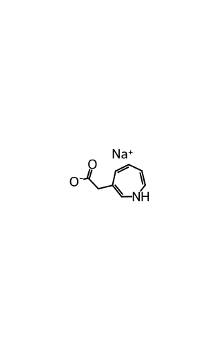 O=C([O-])CC1=CNC=CC=C1.[Na+]